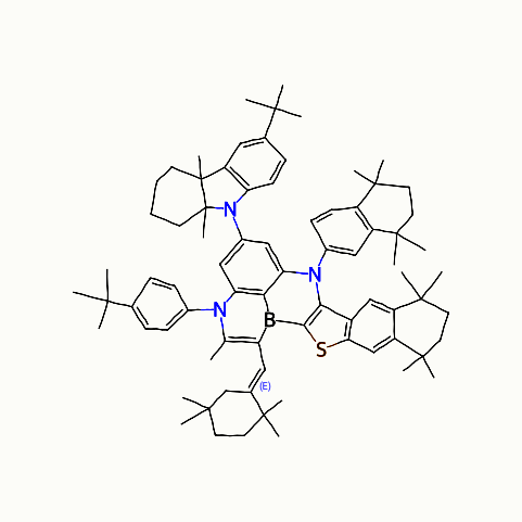 CC1=C(/C=C2\CC(C)(C)CCC2(C)C)B2c3sc4cc5c(cc4c3N(c3ccc4c(c3)C(C)(C)CCC4(C)C)c3cc(N4c6ccc(C(C)(C)C)cc6C6(C)CCCCC46C)cc(c32)N1c1ccc(C(C)(C)C)cc1)C(C)(C)CCC5(C)C